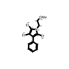 CCc1c(-c2ccccc2)c(CC)n(CCOC)c1CC